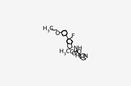 CCCOc1cccc(-c2cc3c(cc2F)[C@H](NC(=O)O[C@H]2CN4CCC2CC4)C(C)(C)C3)c1